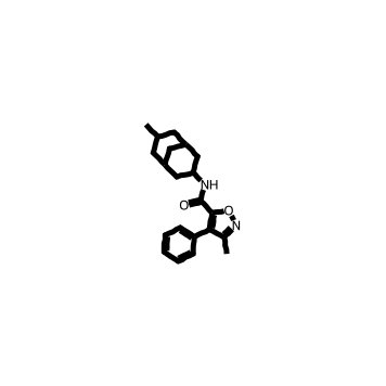 Cc1noc(C(=O)NC2CC3CC(C)CC(C3)C2)c1-c1ccccc1